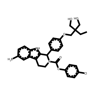 Bc1ccc2[nH]c3c(c2c1)CCN(C(=O)Oc1ccc(Cl)cc1)C3c1ccc(OCC(CC)(CO)CO)cc1